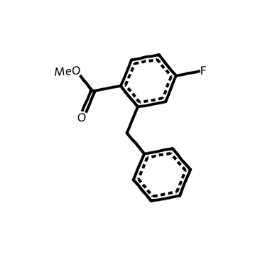 COC(=O)c1ccc(F)cc1Cc1ccccc1